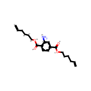 C=CCCCCOC(=O)c1ccc(C(=O)OCCCCC=C)c(N)c1